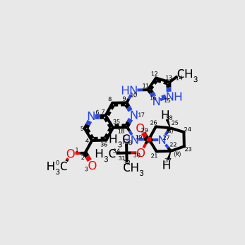 COC(=O)c1cnc2cc(Nc3cc(C)[nH]n3)nc(NC3C[C@H]4CC[C@@H](C3)N4C(=O)OC(C)(C)C)c2c1